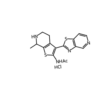 CC(=O)Nc1sc2c(c1-c1nc3cnccc3s1)CCNC2C.Cl